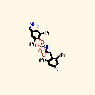 CC(C)C1=CC(=CN)CC(C(C)C)=C1OS(=O)(=O)NC(=O)Cc1c(C(C)C)cc(C(C)C)cc1C(C)C